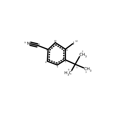 CC(C)(C)c1ccc(C#N)cc1I